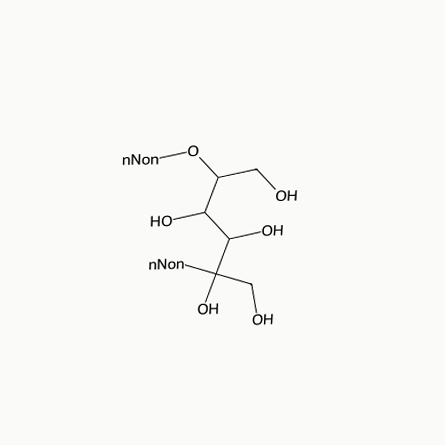 CCCCCCCCCOC(CO)C(O)C(O)C(O)(CO)CCCCCCCCC